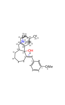 COc1cccc(/C=C2\CCCCC(CN(C)C)C2(O)c2cccc(C(F)(F)F)c2)c1